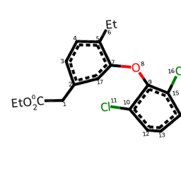 CCOC(=O)Cc1ccc(CC)c(Oc2c(Cl)cccc2Cl)c1